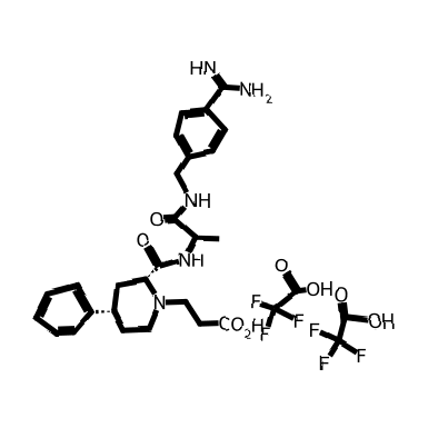 CC(NC(=O)[C@H]1C[C@@H](c2ccccc2)CCN1CCC(=O)O)C(=O)NCc1ccc(C(=N)N)cc1.O=C(O)C(F)(F)F.O=C(O)C(F)(F)F